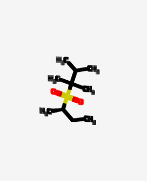 CC[C@@H](C)S(=O)(=O)C(C)(C)C(C)C